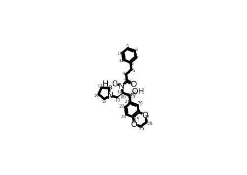 CN(C(=O)CCc1ccccc1)[C@H](CN1CCCC1)[C@H](O)c1ccc2c(c1)OCCO2